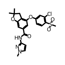 Cn1ccc(NC(=O)c2cc(Oc3ccc(S(C)(=O)=O)c(Cl)c3)c3c(c2)OC(C)(C)C3)n1